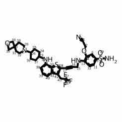 N#CCOc1cc(S(N)(=O)=O)ccc1NCC#Cc1sc2c(NC3CCC(N4CCC5(CC4)COC5)CC3)cccc2c1CC(F)(F)F